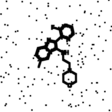 Cc1ccc2nc(-c3ncccc3F)c(NCCN3CCOCC3)n2c1